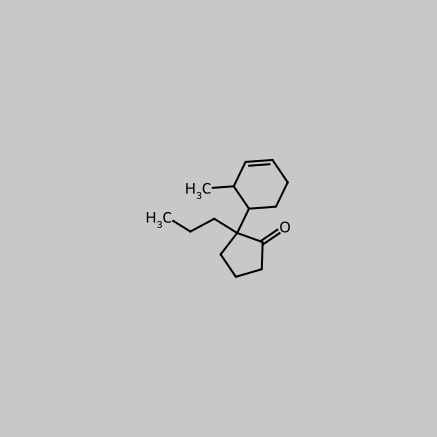 CCCC1(C2CCC=CC2C)CCCC1=O